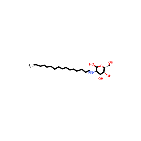 CCCCCCCCCCCCCCCCN[C@H]1C(O)O[C@H](CO)[C@H](O)[C@@H]1O